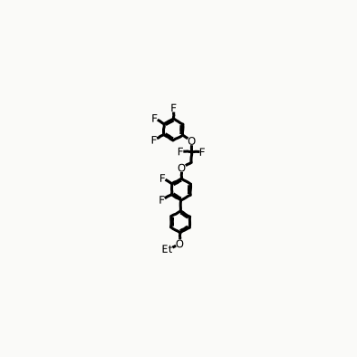 CCOc1ccc(-c2ccc(OCC(F)(F)Oc3cc(F)c(F)c(F)c3)c(F)c2F)cc1